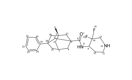 C[C@@]12CC3CC(C(=O)NC4CCNCC4(F)F)(CC(c4ccccc4)(C3)C1)C2